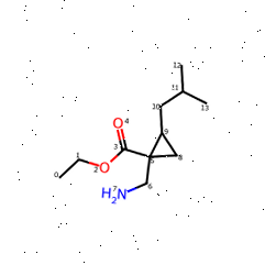 CCOC(=O)C1(CN)CC1CC(C)C